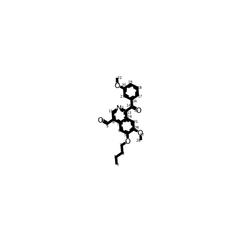 CCCCOc1cc2c(C=O)cnc(C(=O)c3cccc(OC)c3)c2cc1OC